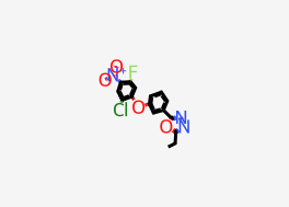 CCc1nnc(-c2cccc(Oc3cc(F)c([N+](=O)[O-])cc3Cl)c2)o1